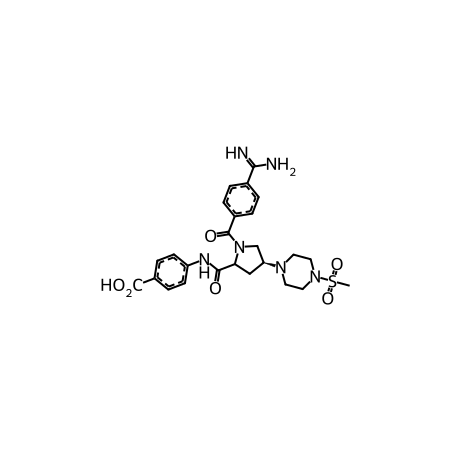 CS(=O)(=O)N1CCN([C@H]2CC(C(=O)Nc3ccc(C(=O)O)cc3)N(C(=O)c3ccc(C(=N)N)cc3)C2)CC1